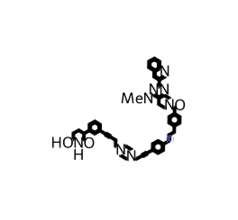 CNc1nc(-c2cnc3ccccc3c2)nc2c1CCN(C(=O)c1ccc(C/C=C/c3ccc(C#CCN4CCN(CCC#Cc5cccc(C6CCC(O)NC6=O)c5)CC4)cc3)cc1)C2